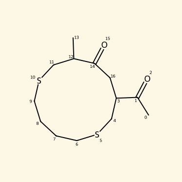 CC(=O)C1CSCCCCSCC(C)C(=O)C1